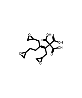 O=C(O)C(C(=O)O)(C(=O)O)/C(CC1CO1)=C(/CCC1CO1)CC1CO1